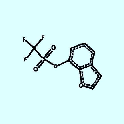 O=S(=O)(Oc1cccc2ccoc12)C(F)(F)F